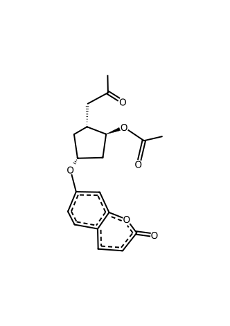 CC(=O)C[C@H]1C[C@@H](Oc2ccc3ccc(=O)oc3c2)C[C@@H]1OC(C)=O